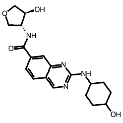 O=C(N[C@@H]1COC[C@H]1O)c1ccc2cnc(NC3CCC(O)CC3)nc2c1